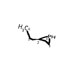 CC[C@@H]1CP1